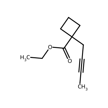 CC#CCC1(C(=O)OCC)CCC1